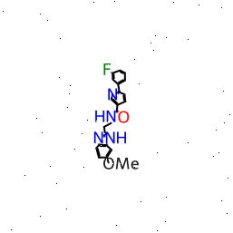 COc1ccc2nc(CCNC(=O)c3ccc(-c4cccc(F)c4)nc3)[nH]c2c1